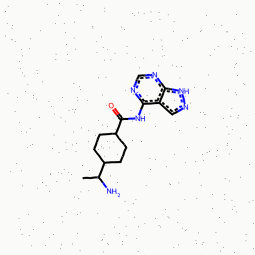 CC(N)C1CCC(C(=O)Nc2ncnc3[nH]ncc23)CC1